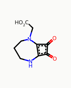 O=C(O)CN1CCCNc2c1c(=O)c2=O